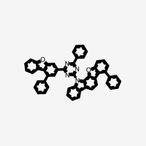 c1ccc(-c2nc(-c3cc(-c4ccccc4)c4c(c3)oc3ccccc34)nc(-n3c4ccccc4c4ccc5c(oc6cccc(-c7ccccc7)c65)c43)n2)cc1